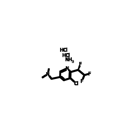 CN(C)Cc1cnc([C@@H](F)C(F)F)c(Cl)c1.Cl.Cl.N